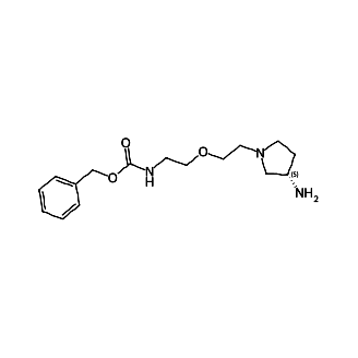 N[C@H]1CCN(CCOCCNC(=O)OCc2ccccc2)C1